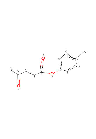 [CH2]c1ccc(OC(=O)CCC(C)=O)cc1